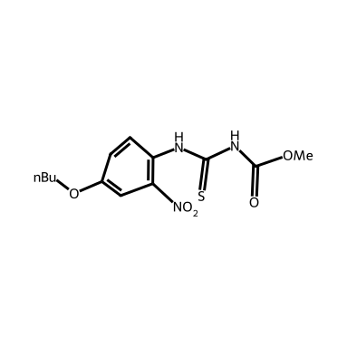 CCCCOc1ccc(NC(=S)NC(=O)OC)c([N+](=O)[O-])c1